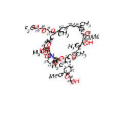 CO[C@@H]1C[C@H](C[C@@H](C)[C@@H]2CC(=O)[C@H](C)/C=C(\C)[C@@H](O)[C@@H](OC)C(=O)CC[C@H](C)/C=C/C=C/C=C(\C)[C@H](OCCOCCOC(F)(F)F)C[C@@H]3CC[C@@H](C)[C@@](O)(O3)C(=O)C(=O)N3CCCC[C@H]3C(=O)O2)CC[C@H]1OCCO